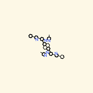 Cc1ccnc(-n2c3ccc(-c4ccc(-c5ccccc5)cn4)cc3c3cc4c5c(c32)CCc2cc3c6cc(-c7ccc(C8C=CC=CC8)cn7)ccc6n(-c6cc(C)ccn6)c3c(c2-5)CC4)c1